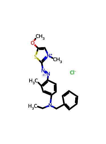 CCN(Cc1ccccc1)c1ccc(/N=N/c2sc(OC)c[n+]2C)c(C)c1.[Cl-]